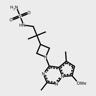 COc1cc(C)c2c(N3CC(C(C)(C)CNS(N)(=O)=O)C3)nc(C)nn12